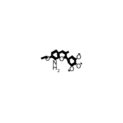 CCOc1ccc(C=C(C)C(=O)c2cc(OC)c(OC)c(OC)c2)cc1N